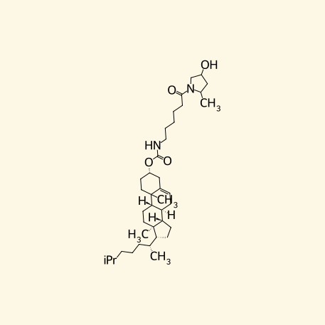 CC(C)CCC[C@@H](C)[C@H]1CC[C@H]2[C@@H]3CC=C4C[C@@H](OC(=O)NCCCCCC(=O)N5CC(O)CC5C)CCC4(C)[C@H]3CC[C@]12C